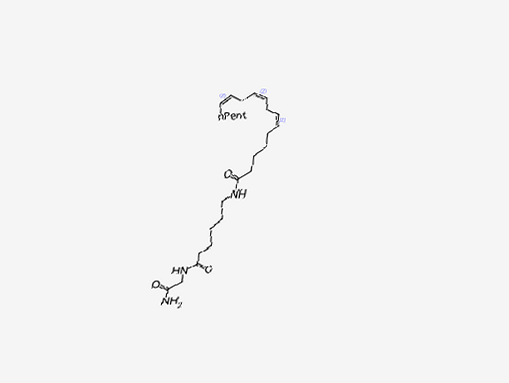 CCCCC/C=C\C/C=C\C/C=C\CCCCC(=O)NCCCCCC(=O)NCC(N)=O